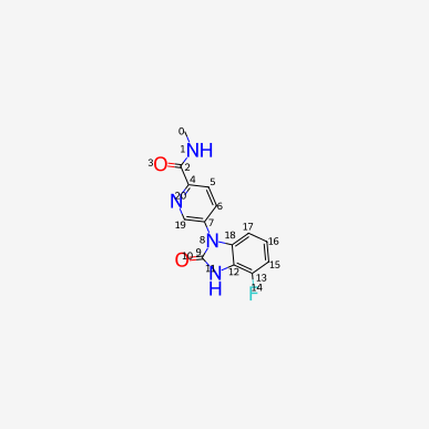 CNC(=O)c1ccc(-n2c(=O)[nH]c3c(F)cccc32)cn1